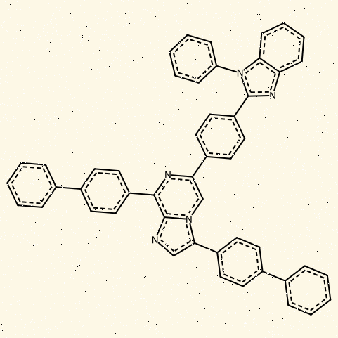 c1ccc(-c2ccc(-c3nc(-c4ccc(-c5nc6ccccc6n5-c5ccccc5)cc4)cn4c(-c5ccc(-c6ccccc6)cc5)cnc34)cc2)cc1